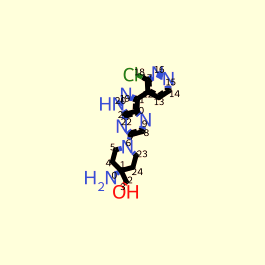 NC1(CO)CCN(c2cnc3c(-c4ccnnc4Cl)n[nH]c3n2)CC1